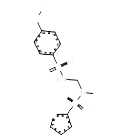 COc1ccc(S(=O)(=O)N[CH]N(C)S(=O)(=O)c2cccs2)cc1